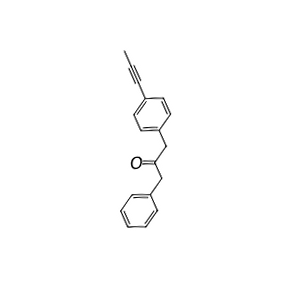 CC#Cc1ccc(CC(=O)Cc2ccccc2)cc1